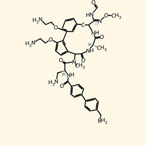 BCc1ccc(-c2ccc(C(=O)N[C@@H](CN)C(=O)N(C)C3C(=O)N[C@@H](C)C(=O)NC(/C(=N/OC)NC=O)Cc4ccc(OCCN)c(c4)-c4cc3ccc4OCCN)cc2)cc1